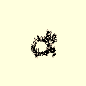 CC[C@H](C)[C@H]1NC(=O)[C@@H](NC(=O)[C@@H](CC(C)C)N(C)C(=O)[C@@H]2CCCN2C(=O)C(C)=O)[C@@H](C)OC(=O)[C@H](Cc2ccc(OC)cc2)N(C)C(O)[C@@H]2CCCN2C(=O)[C@H](CC(C)C)NC(=O)[C@@H](C)C(=O)[C@H](C(C)C)OC(=O)C[C@@H]1O